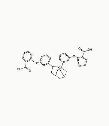 O=C(O)c1ccccc1Oc1cccc(C23CC4CC(C2)CC(c2cccc(Oc5ccccc5C(=O)O)c2)(C4)C3)c1